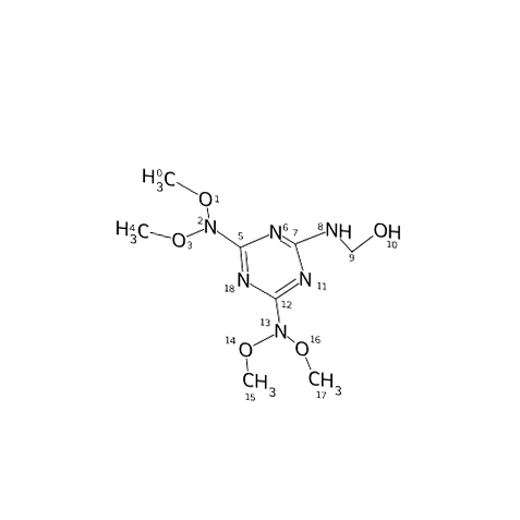 CON(OC)c1nc(NCO)nc(N(OC)OC)n1